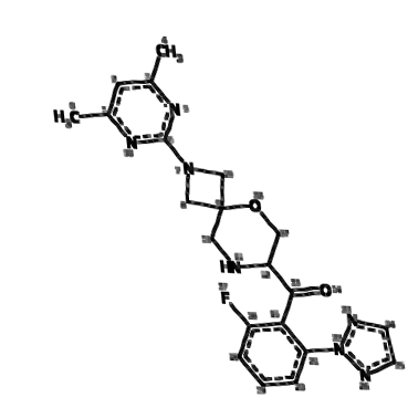 Cc1cc(C)nc(N2CC3(CNC(C(=O)c4c(F)cccc4-n4nccn4)CO3)C2)n1